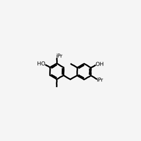 Cc1cc(O)c(C(C)C)cc1Cc1cc(C(C)C)c(O)cc1C